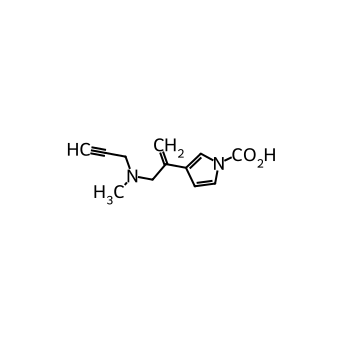 C#CCN(C)CC(=C)c1ccn(C(=O)O)c1